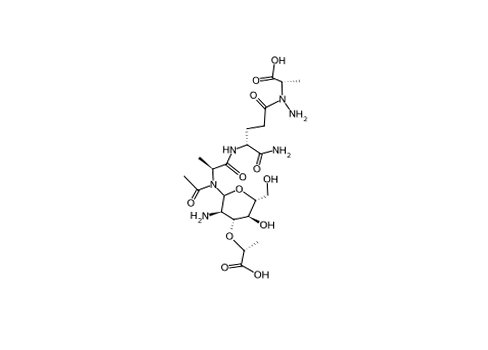 CC(=O)N(C1O[C@H](CO)[C@@H](O)[C@H](O[C@H](C)C(=O)O)[C@H]1N)[C@@H](C)C(=O)N[C@H](CCC(=O)N(N)[C@@H](C)C(=O)O)C(N)=O